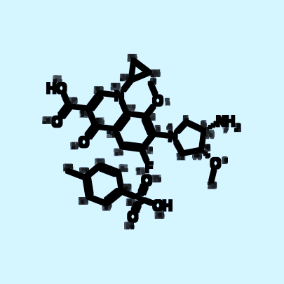 COc1c(N2C[C@H](N)[C@H](OC)C2)c(F)cc2c(=O)c(C(=O)O)cn(C3CC3)c12.Cc1ccc(S(=O)(=O)O)cc1